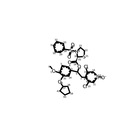 COc1ccc(C(Cc2c(Cl)c[n+]([O-])cc2Cl)OC(=O)[C@@H]2SCCN2S(=O)(=O)c2ccccc2)cc1OC1CCCC1